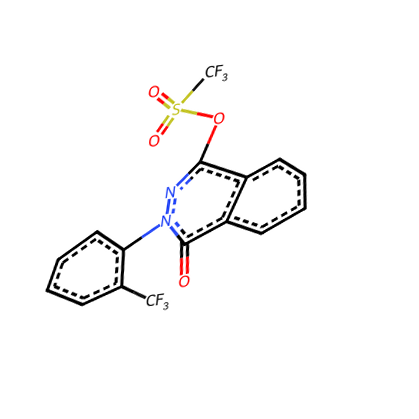 O=c1c2ccccc2c(OS(=O)(=O)C(F)(F)F)nn1-c1ccccc1C(F)(F)F